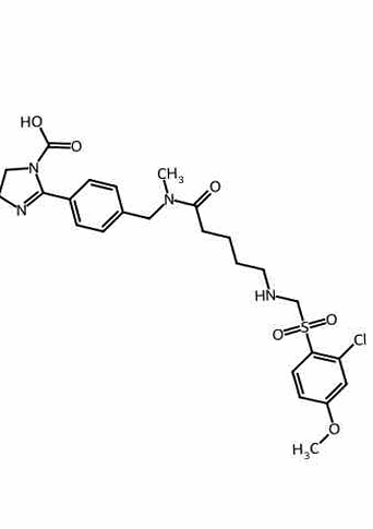 COc1ccc(S(=O)(=O)CNCCCCC(=O)N(C)Cc2ccc(C3=NCCN3C(=O)O)cc2)c(Cl)c1